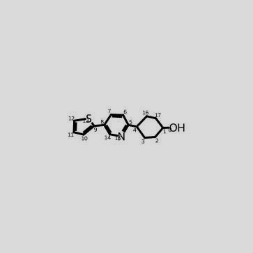 OC1CCC(c2ccc(-c3cccs3)cn2)CC1